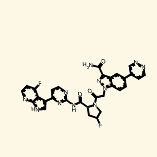 NC(=O)c1nn(CC(=O)N2CC(F)CC2C(=O)Nc2nccc(-c3c[nH]c4nccc(F)c34)n2)c2ccc(-c3ccnnc3)cc12